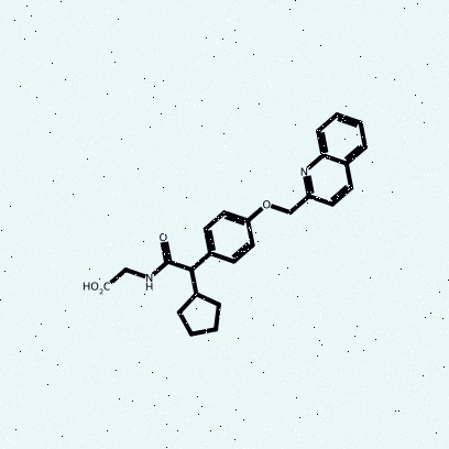 O=C(O)CNC(=O)C(c1ccc(OCc2ccc3ccccc3n2)cc1)C1CCCC1